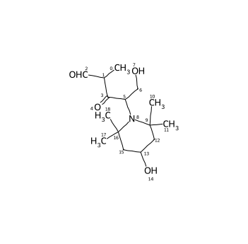 CC(C=O)C(=O)C(CO)N1C(C)(C)CC(O)CC1(C)C